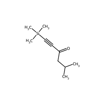 CC(C)CC(=O)C#C[Si](C)(C)C